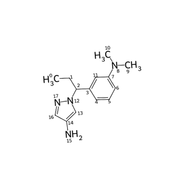 CCC(c1cccc(N(C)C)c1)n1cc(N)cn1